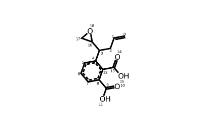 C=CCC(c1cccc(C(=O)O)c1C(=O)O)C1CO1